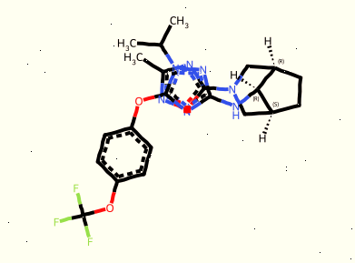 Cc1noc(N2C[C@H]3CC[C@@H](C2)[C@H]3Nc2nc(Oc3ccc(OC(F)(F)F)cc3)n(C(C)C)n2)n1